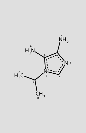 CC(C)n1cnc(N)c1N